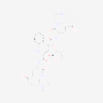 CCOC(=O)N1CCN(C(=O)C(CCC(=O)OC)NC(=O)C2=CC(OC3CCOC3=O)(C(=O)NC(CCC(=O)OC)C(=O)N3CCN(C(=O)OCC)CC3)c3ccccc3N2)CC1